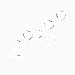 O=C(NNC(=O)C(F)F)c1ccc(CN(C(=O)N2CCSCC2)c2ccc(-c3ccncc3)cc2)c(F)c1